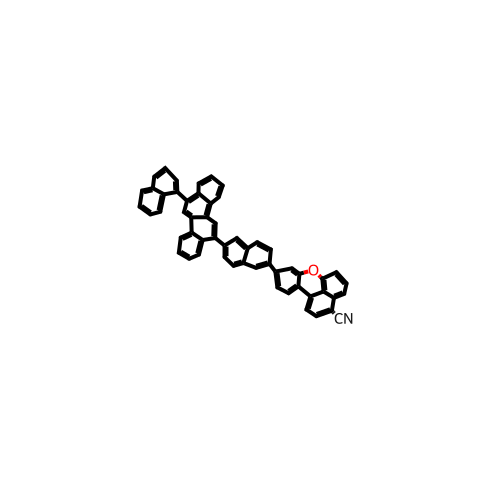 N#Cc1ccc2c3c(cccc13)Oc1cc(-c3ccc4cc(-c5cc6c7ccccc7c(-c7cccc8ccccc78)cc6c6ccccc56)ccc4c3)ccc1-2